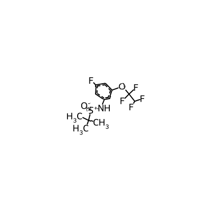 CC(C)(C)[S@@+]([O-])Nc1cc(F)cc(OC(F)(F)C(F)F)c1